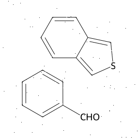 O=Cc1ccccc1.c1ccc2cscc2c1